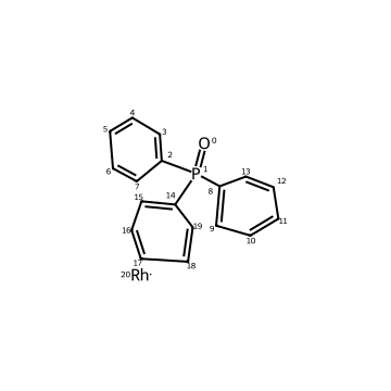 O=P(c1ccccc1)(c1ccccc1)c1ccccc1.[Rh]